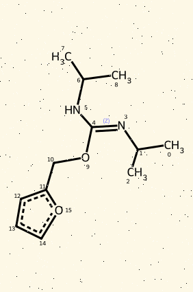 CC(C)/N=C(/NC(C)C)OCc1ccco1